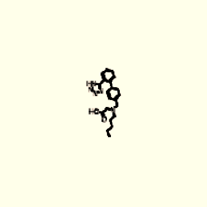 CCCCCN(CC(=O)O)Cc1ccc(-c2ccccc2-c2nnn[nH]2)cc1